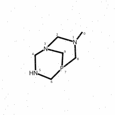 CN1CN2CNCP(C1)C2